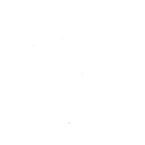 CC1(C)CC(C2CC(=O)c3cc(F)ccc3O2)CO1